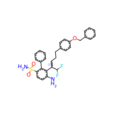 Nc1ccc(S(N)(=O)=O)c(-c2ccccc2)c1/C(=C/CCc1ccc(OCc2ccccc2)cc1)C(F)F